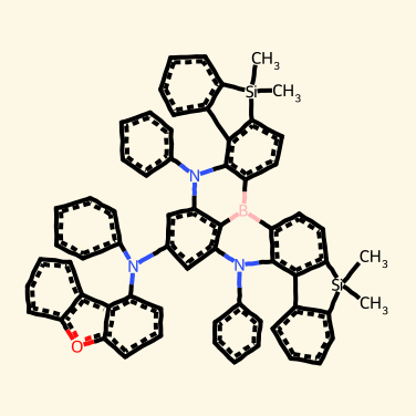 C[Si]1(C)c2ccccc2-c2c1ccc1c2N(c2ccccc2)c2cc(N(c3ccccc3)c3cccc4oc5ccccc5c34)cc3c2B1c1ccc2c(c1N3c1ccccc1)-c1ccccc1[Si]2(C)C